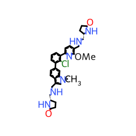 COc1nc(-c2cccc(-c3ccc4c(CNC[C@@H]5CCC(=O)N5)cn(C)c4c3)c2Cl)ccc1CNC[C@@H]1CCC(=O)N1